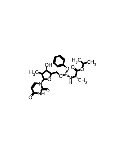 CC(C)OC(=O)[C@H](C)NP(OCC1OC(n2ccc(=O)[nH]c2=S)C(C)[C@H]1O)Oc1ccccc1